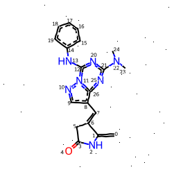 C=C1NC(=O)C/C1=C\c1cnn2c(Nc3ccccc3)nc(N(C)C)nc12